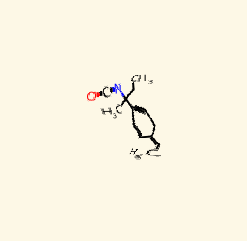 CC=C1C=CC(C(C)(CC)N=C=O)=CC1